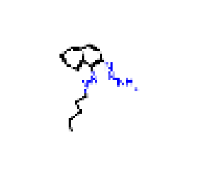 CCCCCN=Nc1c(N=NN)ccc2ccccc12